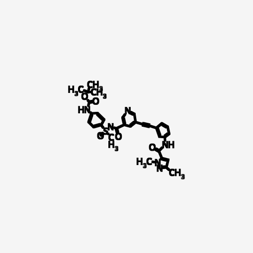 Cc1cc(C(=O)Nc2cccc(C#Cc3cncc(C(=O)N=S(C)(=O)c4ccc(NC(=O)OC(C)(C)C)cc4)c3)c2)n(C)n1